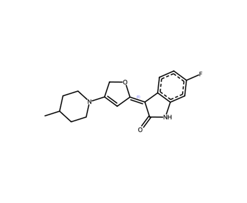 CC1CCN(C2=C/C(=C3\C(=O)Nc4cc(F)ccc43)OC2)CC1